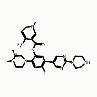 C[C@H]1CN(c2cc(F)c(-c3cnc(N4CCNCC4)nc3)cc2NC(=O)C2=CN(C)CC=C2C(F)(F)F)CCN1C